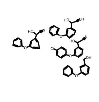 C#CC(O)c1cccc(Oc2ccccc2)c1.N#CC(O)c1cccc(Oc2ccc(Cl)cc2)c1.N#CC(O)c1cccc(Oc2ccccc2)c1.OCc1cccc(Oc2ccccc2)c1